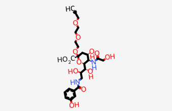 C#CCOCCOCCO[C@]1(C(=O)O)C[C@H](O)[C@@H](NC(=O)CO)[C@H]([C@H](O)[C@H](O)CNC(=O)c2cccc(O)c2)O1